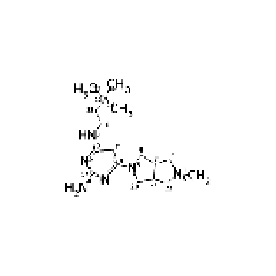 CN1CC2CN(c3cc(NCCC(C)(C)C)nc(N)n3)CC2C1